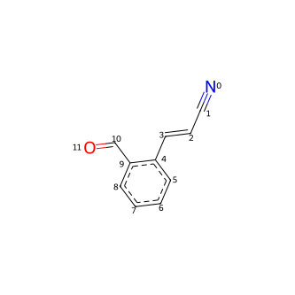 N#CC=Cc1ccccc1C=O